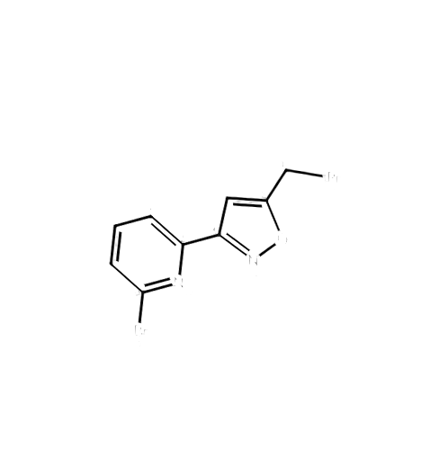 CC(C)Cc1cc(-c2cccc(Br)n2)no1